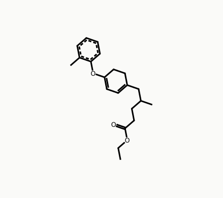 CCOC(=O)CCC(C)CC1=CC=C(Oc2ccccc2C)CC1